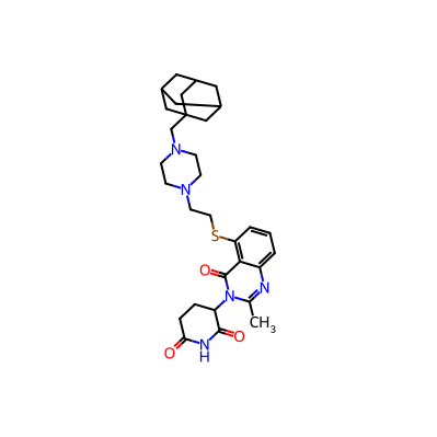 Cc1nc2cccc(SCCN3CCN(CC45CC6CC(CC(C6)C4)C5)CC3)c2c(=O)n1C1CCC(=O)NC1=O